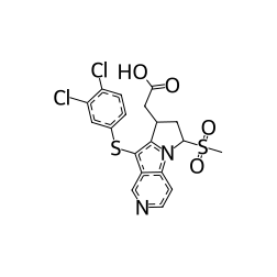 CS(=O)(=O)C1CC(CC(=O)O)c2c(Sc3ccc(Cl)c(Cl)c3)c3cnccc3n21